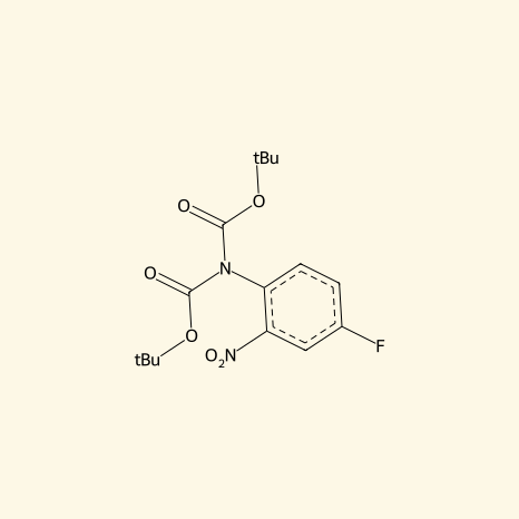 CC(C)(C)OC(=O)N(C(=O)OC(C)(C)C)c1ccc(F)cc1[N+](=O)[O-]